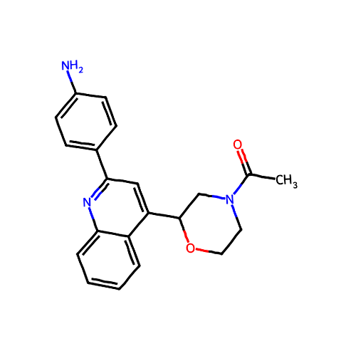 CC(=O)N1CCOC(c2cc(-c3ccc(N)cc3)nc3ccccc23)C1